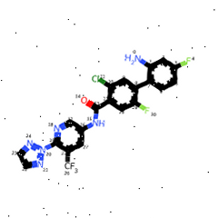 Nc1cc(F)ccc1-c1cc(Cl)c(C(=O)Nc2cnc(-n3nccn3)c(C(F)(F)F)c2)cc1F